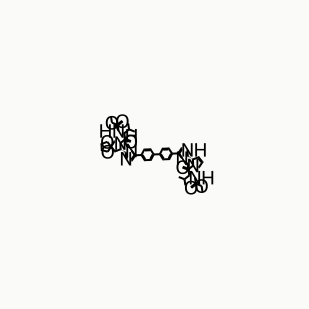 COC(=O)NC(C(=O)N1CC=C[C@H]1c1nc(-c2ccc(-c3ccc(-c4cnc([C@@H]5CC6(CN5C(=O)[C@@H](NC(=O)OC)C(C)C)OCCO6)[nH]4)cc3)cc2)c[nH]1)C(C)C